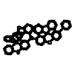 c1ccc(-c2ccc3c(c2)C2(c4cc(N(c5ccc6c(c5)C5(c7ccccc7O6)c6ccccc6-c6ccccc65)c5cccc6oc7ccccc7c56)ccc4O3)c3ccccc3-c3ccccc32)cc1